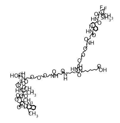 CCc1c2c(nc3ccccc13)-c1cc3c(c(=O)n1C2)COC(=O)[C@@]3(CC)OC(=O)[C@@H](NC(=O)[C@@H]1CCCN1C(=O)[C@H](CC(=O)O)NC(=O)CCOCCOCCOCCNC(=O)CCCC(=O)NCCCC[C@H](NC(=O)CCOCCOCCOCCNC(=O)CCC(=O)Nc1cccc2c(C(=O)NCC(=O)N3CC(F)(F)C[C@@]3(C)[SiH3])ccnc12)C(=O)NCCCCCCCC(=O)O)C(C)C